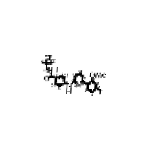 COc1cc(F)ccc1-c1ncnc(Nc2ccc(C(=O)NCC(F)(F)C(F)(F)F)cc2)n1